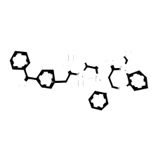 CC(NC(=O)Cc1ccc(C(=O)c2ccccc2)cc1)C(=O)N[C@@H]1C(=O)N(CC(=O)O)c2ccccc2O[C@@H]1c1ccccc1